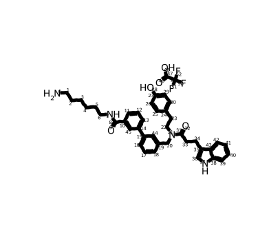 NCCCCCCNC(=O)c1cccc(-c2cccc(CN(CCc3ccc(O)cc3)C(=O)CCc3c[nH]c4ccccc34)c2)c1.O=C(O)C(F)(F)F